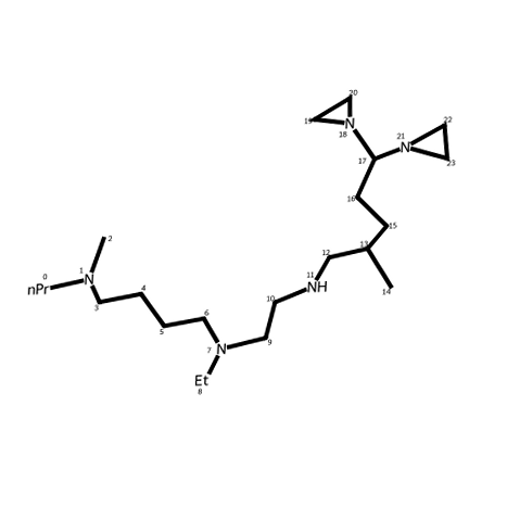 CCCN(C)CCCCN(CC)CCNCC(C)CCC(N1CC1)N1CC1